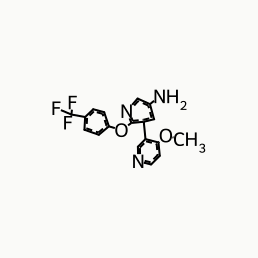 COc1ccncc1-c1cc(N)cnc1Oc1ccc(C(F)(F)F)cc1